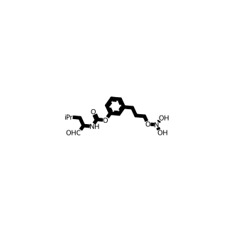 CC(C)CC(C=O)NC(=O)Oc1cccc(CCCON(O)O)c1